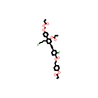 C=CC(=O)OCOc1ccc(-c2c(CCCF)cc(C#Cc3ccc(C(=O)O/C=C/c4ccc(OC(=O)C=C)cc4)c(F)c3)cc2OC(=O)C=C)cc1